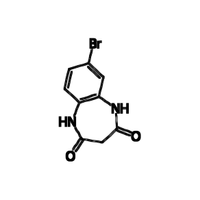 O=C1CC(=O)Nc2cc(Br)ccc2N1